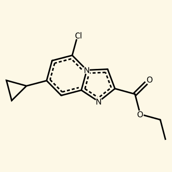 CCOC(=O)c1cn2c(Cl)cc(C3CC3)cc2n1